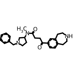 CN(C(=O)CCC(=O)c1ccc2c(c1)CCNCC2)C1CCN(Cc2ccccc2)C1